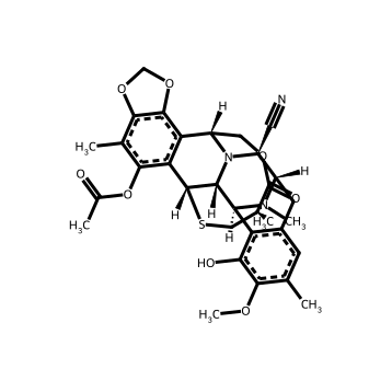 COc1c(C)cc2c(c1O)[C@H]1[C@@H]3[C@@H]4SC[C@H](C)C(=O)OC[C@@H](c5c6c(c(C)c(OC(C)=O)c54)OCO6)N3[C@@H](C#N)[C@H](C2)N1C